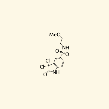 COCCNS(=O)(=O)c1ccc2c(c1)C(Cl)(Cl)C(=O)N2